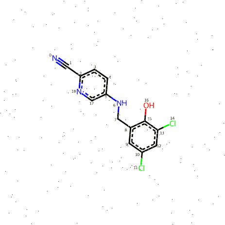 N#Cc1ccc(NCc2cc(Cl)cc(Cl)c2O)cn1